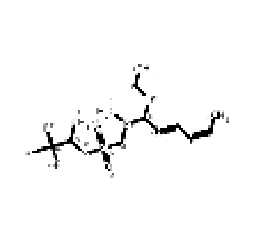 C/C=C\C=NC(OCC)N(C)CS(=O)(=O)NC(C)C(F)(F)F